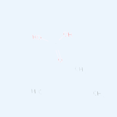 CC=CC(C)C.O=C(O)O